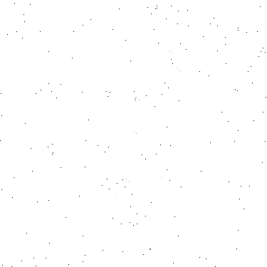 CC1CN(C(=O)Nc2cnnc(CF)c2)c2cnc3cc(CC(F)F)nn3c21